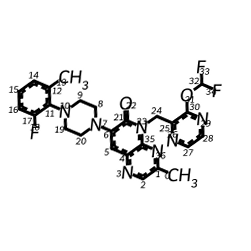 Cc1cnc2cc(N3CCN(c4c(C)cccc4F)CC3)c(=O)n(Cc3nccnc3OC(F)F)c2n1